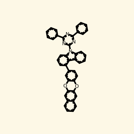 c1ccc(-c2nc(-c3ccccc3)nc(-n3c4ccccc4c4c(-c5ccc6c(c5)Oc5cc7ccccc7cc5O6)cccc43)n2)cc1